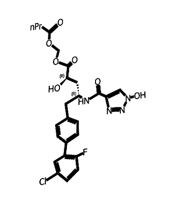 CCCC(=O)OCOC(=O)[C@H](O)C[C@@H](Cc1ccc(-c2cc(Cl)ccc2F)cc1)NC(=O)c1cn(O)nn1